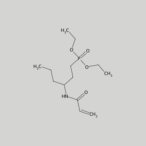 C=CC(=O)NC(CCC)CCP(=O)(OCC)OCC